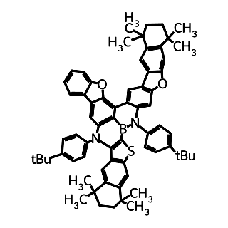 CC(C)(C)c1ccc(N2B3c4sc5cc6c(cc5c4N(c4ccc(C(C)(C)C)cc4)c4cc5c(oc7ccccc75)c(c43)-c3cc4c(cc32)oc2cc3c(cc24)C(C)(C)CCC3(C)C)C(C)(C)CCC6(C)C)cc1